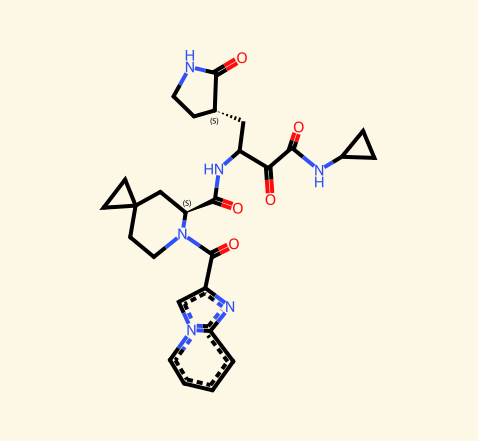 O=C(NC1CC1)C(=O)C(C[C@@H]1CCNC1=O)NC(=O)[C@@H]1CC2(CCN1C(=O)c1cn3ccccc3n1)CC2